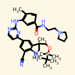 Cc1ccc(C(=O)NCCN2CCCC2)cc1Nc1nccc(-c2cc(C#N)c3c(c2)[C@@](C)(CO[Si](C)(C)C(C)(C)C)CN3)n1